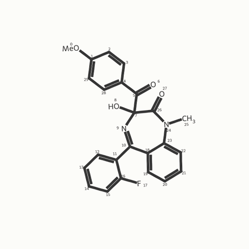 COc1ccc(C(=O)C2(O)N=C(c3ccccc3F)c3ccccc3N(C)C2=O)cc1